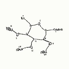 CCCCOC1C(CC)OC(OC)C(OCCCC)C1OCCCC